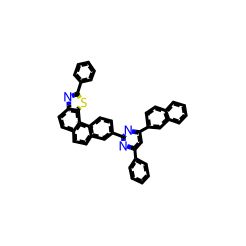 c1ccc(-c2cc(-c3ccc4ccccc4c3)nc(-c3ccc4c(ccc5ccc6nc(-c7ccccc7)sc6c54)c3)n2)cc1